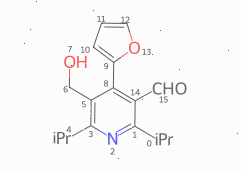 CC(C)c1nc(C(C)C)c(CO)c(-c2ccco2)c1C=O